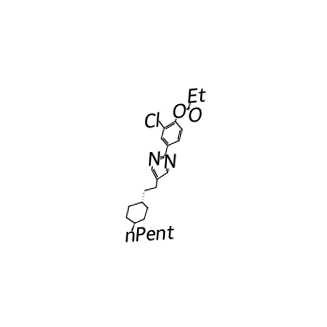 CCCCC[C@H]1CC[C@H](CCc2cnc(-c3ccc(OC(=O)CC)c(Cl)c3)nc2)CC1